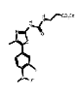 CCOC(=O)CCNC(=O)Nc1nc(C)c(-c2ccc([S+](C)[O-])c(F)c2)s1